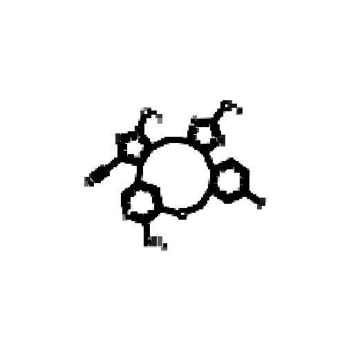 Cc1nc2c(s1)Cc1c(c(C#N)nn1C)-c1cnc(N)c(c1)OCc1cc(F)ccc1-2